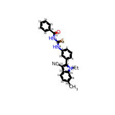 CCn1c(-c2cccc(NC(=S)NC(=O)c3ccccc3)c2)c(C#N)c2ccc(C)cc21